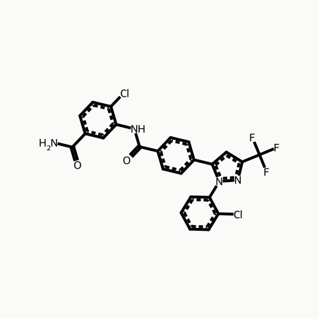 NC(=O)c1ccc(Cl)c(NC(=O)c2ccc(-c3cc(C(F)(F)F)nn3-c3ccccc3Cl)cc2)c1